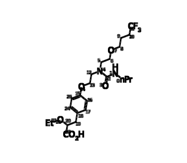 CCCNC(=O)N(CCOCCCC(F)(F)F)CCOc1ccc(CC(OCC)C(=O)O)cc1